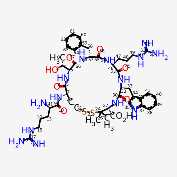 C[C@@H](O)[C@@H]1NC(=O)[C@@H](NC(=O)[C@H](N)CCCNC(=N)N)CCSSC(C)(C)[C@@H](C(=O)O)NC(=O)[C@H](Cc2c[nH]c3ccccc23)NC(=O)[C@H](CCCNC(=N)N)NC(=O)[C@@H](Cc2ccccc2)NC1=O